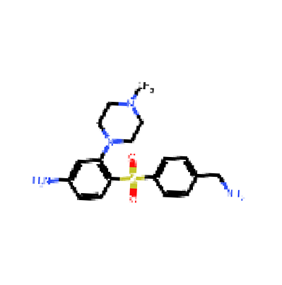 CN1CCN(c2cc(N)ccc2S(=O)(=O)c2ccc(CN)cc2)CC1